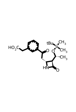 C[C@@H](O[Si](C)(C)C(C)(C)C)[C@H]1C(=O)N[C@@H]1CC(=O)c1cccc(CC(=O)O)c1